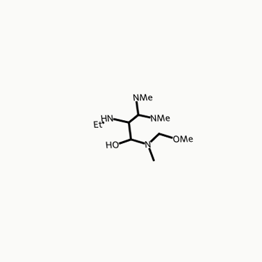 CCNC(C(NC)NC)C(O)N(C)COC